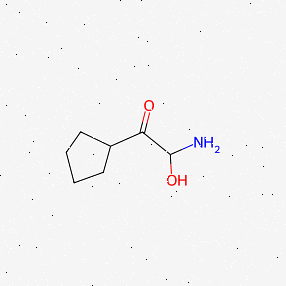 NC(O)C(=O)C1CCCC1